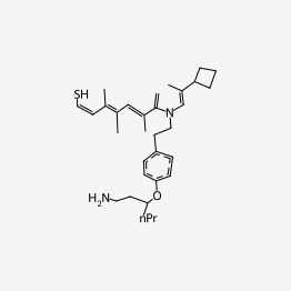 C=C(/C(C)=C/C(C)=C(C)/C=C\S)N(/C=C(\C)C1CCC1)CCc1ccc(OC(CCC)CCN)cc1